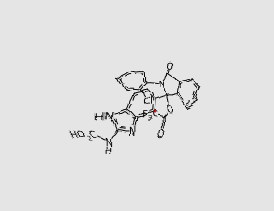 O=C(O)Nc1nc2cc(C3(OC(=O)C(F)(F)F)c4ccccc4C(=O)N3c3ccccc3Cl)ccc2[nH]1